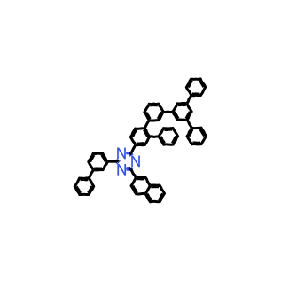 c1ccc(-c2cc(-c3ccccc3)cc(-c3cccc(-c4ccc(-c5nc(-c6cccc(-c7ccccc7)c6)nc(-c6ccc7ccccc7c6)n5)cc4-c4ccccc4)c3)c2)cc1